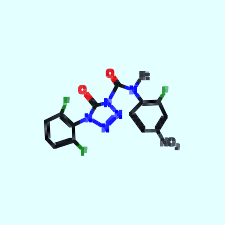 CCN(C(=O)n1nnn(-c2c(F)cccc2F)c1=O)c1ccc([N+](=O)[O-])cc1F